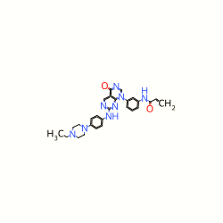 C=CC(=O)Nc1cccc(-n2cnc(=O)c3cnc(Nc4ccc(N5CCN(CC)CC5)cc4)nc32)c1